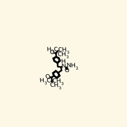 CC(C)(C)C(=O)c1ccc(CC(Cc2ccc(C(=O)C(C)(C)C)cc2)NC(N)=O)cc1